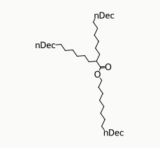 CCCCCCCCCCCCCCCCCCOC(=O)C(CCCCCCCCCCCCCCCC)CCCCCCCCCCCCCCCC